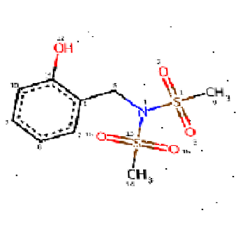 CS(=O)(=O)N(Cc1ccccc1O)S(C)(=O)=O